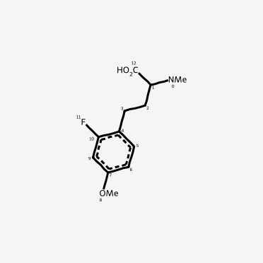 CNC(CCc1ccc(OC)cc1F)C(=O)O